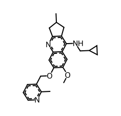 COc1cc2c(NCC3CC3)c3c(nc2cc1OCc1cccnc1C)CC(C)C3